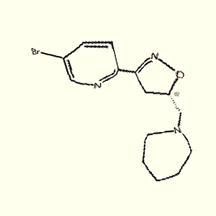 Brc1ccc(C2=NO[C@H](CN3CCCCC3)C2)nc1